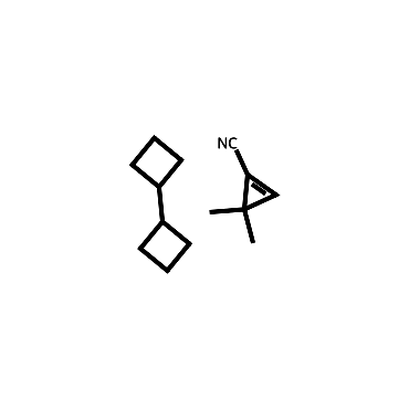 C1CC(C2CCC2)C1.CC1(C)C=C1C#N